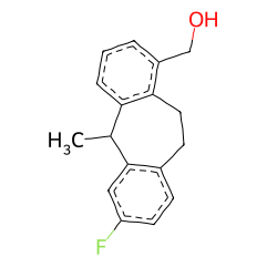 CC1c2cc(F)ccc2CCc2c(CO)cccc21